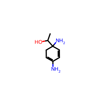 CC(O)C1(N)C=CC(N)=CC1